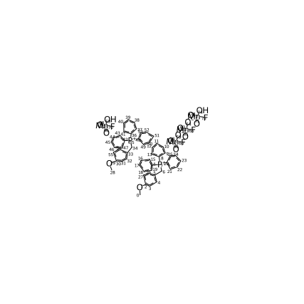 COc1ccc(C[P+](c2ccccc2)(c2ccccc2)c2ccccc2)cc1.COc1ccc(C[P+](c2ccccc2)(c2ccccc2)c2ccccc2)cc1.[O]=[Mn](=[O])([O-])[F].[O]=[Mn](=[O])([O-])[F].[O]=[Mn](=[O])([OH])[F].[O]=[Mn](=[O])([OH])[F]